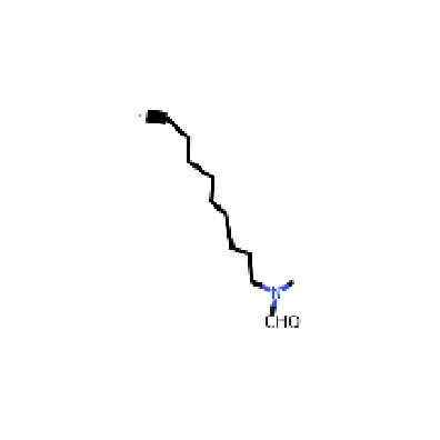 [C]#CCCCCCCCCN(C)C=O